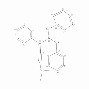 CS(C)(C)C#C[C@@H](c1ccccc1)N(Cc1ccccc1)Cc1ccccc1